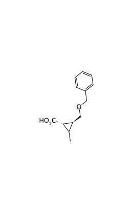 CC1[C@H](COCc2ccccc2)[C@H]1C(=O)O